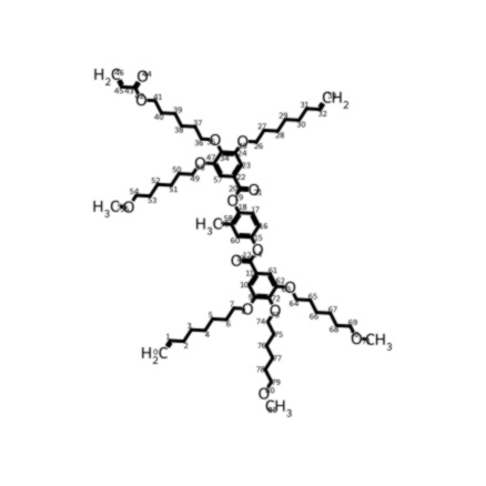 C=CCCCCCCOc1cc(C(=O)Oc2ccc(OC(=O)c3cc(OCCCCCCC=C)c(OCCCCCCOC(=O)C=C)c(OCCCCCCOC)c3)c(C)c2)cc(OCCCCCCOC)c1OCCCCCCOC